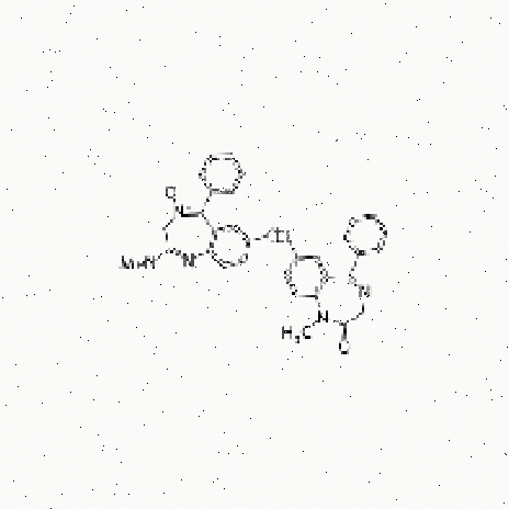 CN1C(=O)CN=C(c2ccccc2)c2cc(Cl)ccc21.CNC1=Nc2ccc(Cl)cc2C(c2ccccc2)=[N+]([O-])C1